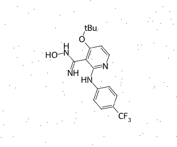 CC(C)(C)Oc1ccnc(Nc2ccc(C(F)(F)F)cc2)c1C(=N)NO